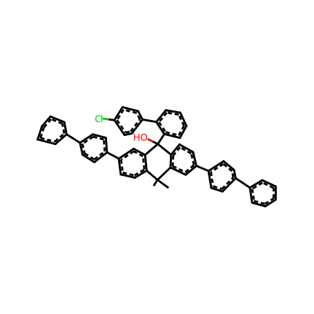 CC1(C)c2cc(-c3ccc(-c4ccccc4)cc3)ccc2C(O)(c2ccccc2-c2ccc(Cl)cc2)c2cc(-c3ccc(-c4ccccc4)cc3)ccc21